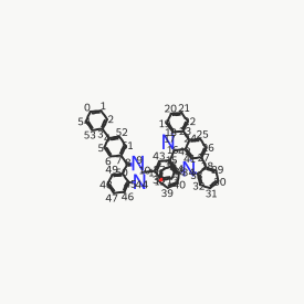 c1ccc(-c2ccc(-c3nc(-c4cccc(-c5nc6ccccc6c6ccc7c8ccccc8n(-c8ccccc8)c7c56)c4)nc4ccccc34)cc2)cc1